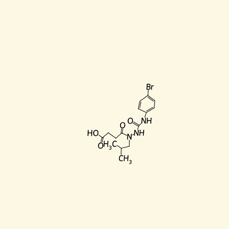 CC(C)CN(NC(=O)Nc1ccc(Br)cc1)C(=O)CCC(=O)O